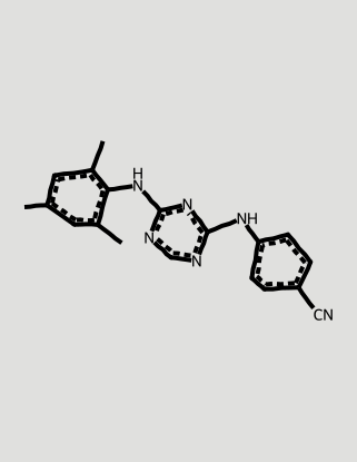 Cc1cc(C)c(Nc2ncnc(Nc3ccc(C#N)cc3)n2)c(C)c1